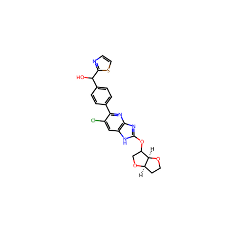 OC(c1ccc(-c2nc3nc(OC4CO[C@@H]5CCO[C@H]45)[nH]c3cc2Cl)cc1)c1nccs1